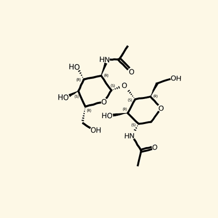 CC(=O)N[C@H]1[C@H](O[C@H]2[C@H](O)[C@@H](NC(C)=O)CO[C@@H]2CO)O[C@H](CO)[C@@H](O)[C@@H]1O